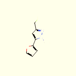 Cn1nc(CF)cc1-c1ccco1